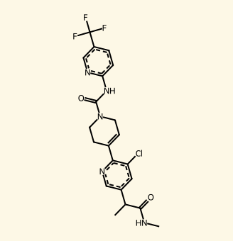 CNC(=O)C(C)c1cnc(C2=CCN(C(=O)Nc3ccc(C(F)(F)F)cn3)CC2)c(Cl)c1